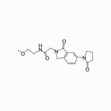 COCCNC(=O)CN1Cc2ccc(N3CCCC3=O)cc2C1=O